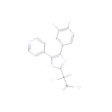 COC(=O)C(C)(C)c1nc(-c2ccc(Cl)c(Cl)c2)c(-c2ccncc2)[nH]1